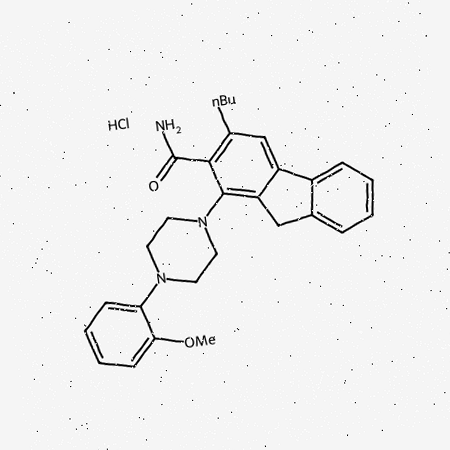 CCCCc1cc2c(c(N3CCN(c4ccccc4OC)CC3)c1C(N)=O)Cc1ccccc1-2.Cl